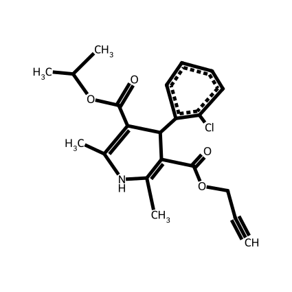 C#CCOC(=O)C1=C(C)NC(C)=C(C(=O)OC(C)C)C1c1ccccc1Cl